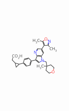 Cc1noc(C)c1-c1cnc2c(-c3ccc(C4CC4CC(=O)O)cc3)cn(CC3(C)CCOCC3)c2c1